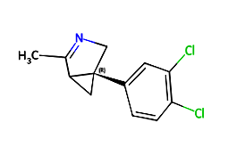 CC1=NC[C@]2(c3ccc(Cl)c(Cl)c3)CC12